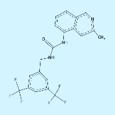 Cc1cc2c(NC(=O)NCc3cc(C(F)(F)F)cc(C(F)(F)F)c3)cccc2cn1